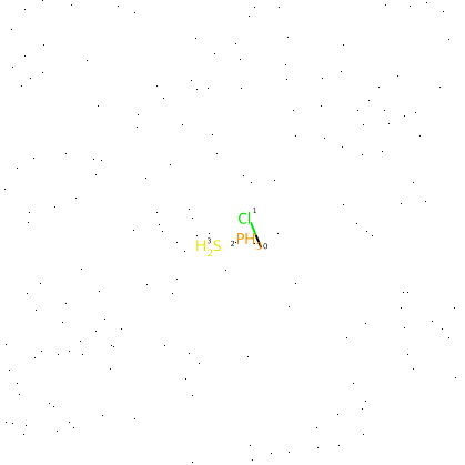 CCl.P.S